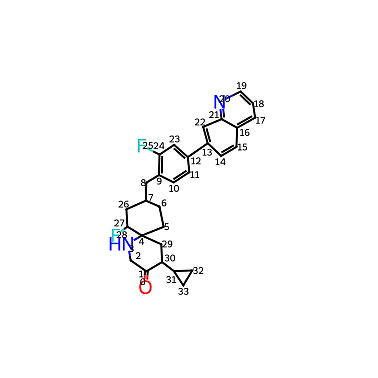 O=C1CNC2(CCC(Cc3ccc(-c4ccc5cccnc5c4)cc3F)CC2F)CC1C1CC1